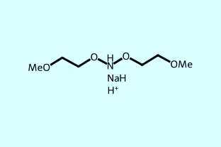 COCCONOCCOC.[H+].[NaH]